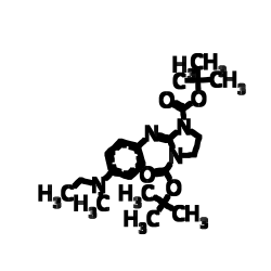 CCN(C)c1ccc(N=C2N(C(=O)OC(C)(C)C)CCN2C(=O)OC(C)(C)C)cc1